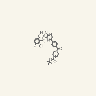 C[C@@H](Oc1nc(-c2ccc(C(=O)N3CCN(C(=O)OC(C)(C)C)CC3)cc2)cnc1N)c1c(Cl)ccc(F)c1Cl